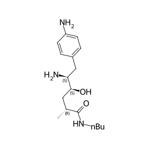 CCCCNC(=O)[C@H](C)C[C@H](O)[C@@H](N)Cc1ccc(N)cc1